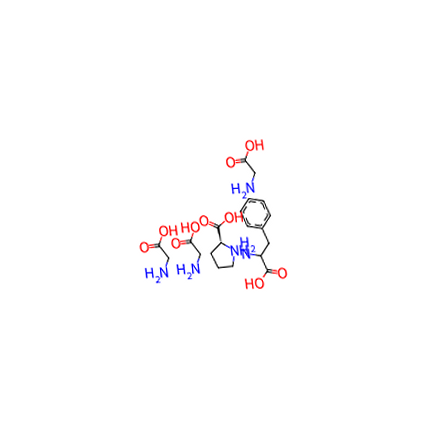 NC(Cc1ccccc1)C(=O)O.NCC(=O)O.NCC(=O)O.NCC(=O)O.O=C(O)[C@@H]1CCCN1